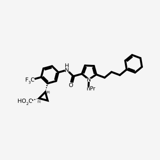 CCCn1c(CCCC2=CCCC=C2)ccc1C(=O)Nc1ccc(C(F)(F)F)c([C@@H]2C[C@@H]2C(=O)O)c1